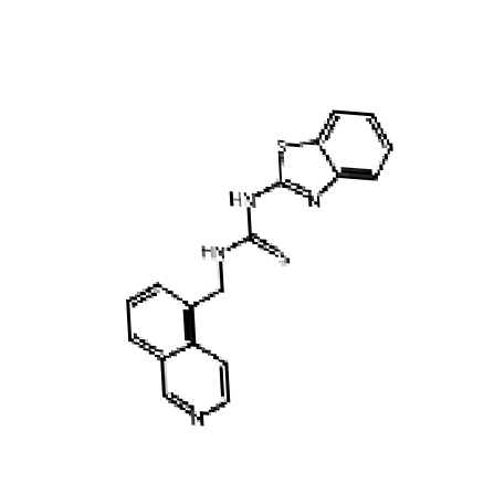 S=C(NCc1cccc2cnccc12)Nc1nc2ccccc2s1